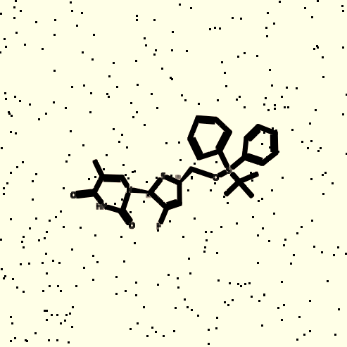 Cc1cn([C@H]2S[C@@H](CO[Si](c3ccccc3)(c3ccccc3)C(C)(C)C)C=C2F)c(=O)[nH]c1=O